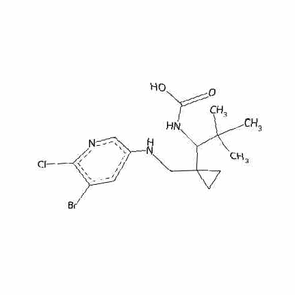 CC(C)(C)C(NC(=O)O)C1(CNc2cnc(Cl)c(Br)c2)CC1